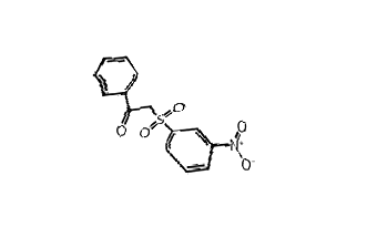 O=C(CS(=O)(=O)c1cccc([N+](=O)[O-])c1)c1ccccc1